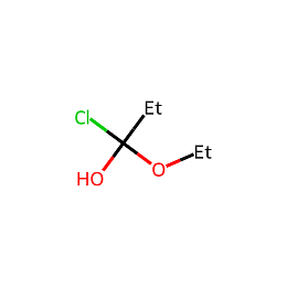 CCOC(O)(Cl)CC